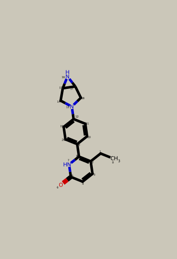 CCc1ccc(=O)[nH]c1-c1ccc(N2CC3NC3C2)cc1